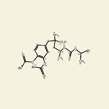 CCC(C)C(=O)Oc1ccc(CC(N)(C[C@H](C)OC(=O)OC(C)C(C)C)C(=O)O)cc1OC(=O)C(C)CC